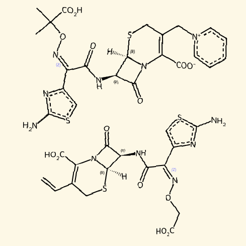 C=CC1=C(C(=O)O)N2C(=O)[C@@H](NC(=O)/C(=N\OCC(=O)O)c3csc(N)n3)[C@H]2SC1.CC(C)(O/N=C(\C(=O)N[C@@H]1C(=O)N2C(C(=O)[O-])=C(C[n+]3ccccc3)CS[C@H]12)c1csc(N)n1)C(=O)O